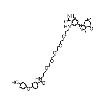 Cc1nn(-c2ccc(C(N)=O)c(NCCCOCCOCCOCCOCCOCCCNC(=O)c3ccc(Oc4ccc(O)cc4)cc3)c2)c2c1C(=O)CC(C)(C)C2